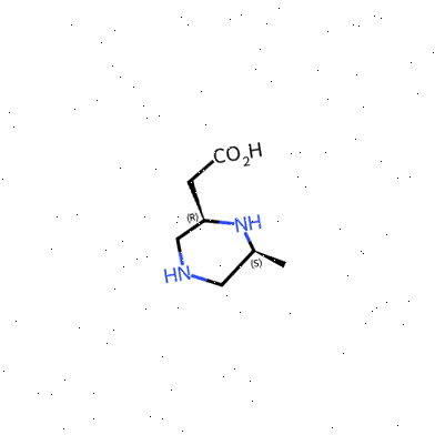 C[C@H]1CNC[C@@H](CC(=O)O)N1